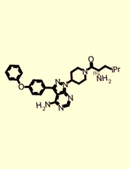 CC(C)C[C@H](N)C(=O)N1CCC(n2nc(-c3ccc(Oc4ccccc4)cc3)c3c(N)ncnc32)CC1